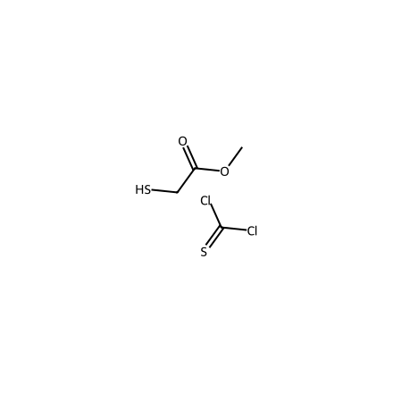 COC(=O)CS.S=C(Cl)Cl